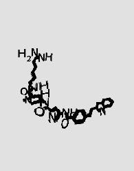 Cn1cc(NC(=O)c2cc(NC(=O)c3ccc(/C=C/c4cnc5ccccc5c4)cc3)cn2C)cc1C(=O)NCCCCCC(=N)N